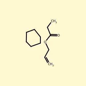 C1CCCCC1.C=CCOC(=O)CC